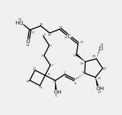 CCCCC1([C@H](O)/C=C/[C@@H]2[C@@H](CC=C=CCCC(=O)O)[C@H](Cl)C[C@H]2O)CCC1